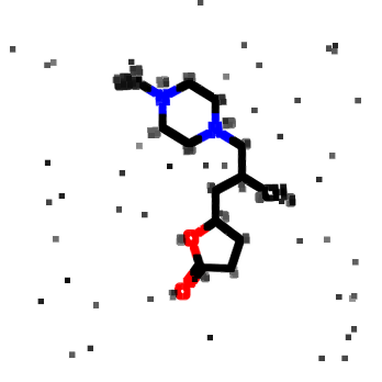 CC(CC1CCC(=O)O1)CN1CCN(C(C)(C)C)CC1